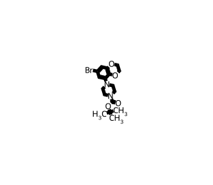 CC(C)(C)OC(=O)N1CCN(c2cc(Br)cc3c2OCCO3)CC1